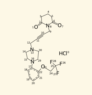 Cl.O=C1CCCC(=O)N1CC#CCN1CCN(c2ccccc2OCC(F)(F)F)CC1